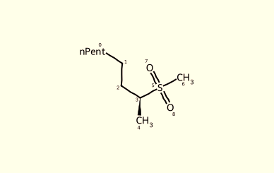 CCCCCCC[C@H](C)S(C)(=O)=O